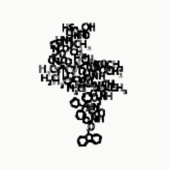 CC[C@H](C)[C@H](NC(=O)CNC(=O)[C@H](CSC(c1ccccc1)(c1ccccc1)c1ccccc1)NC(=O)OCC1c2ccccc2-c2ccccc21)C(=O)N[C@@H](CC(C)C)C(=O)N[C@H](C(=O)N[C@@H](C)C(=O)N[C@@H](COC(C)(C)C)C(=O)N[C@H](C(=O)N1CCC[C@H]1C(=O)N1CCC[C@H]1C(=O)N[C@H](C(=O)N[C@@H](CS)C(=O)O)[C@@H](C)CC)[C@@H](C)CC)[C@@H](C)OC(C)(C)C